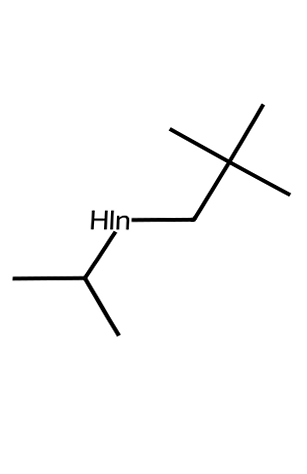 C[CH](C)[InH][CH2]C(C)(C)C